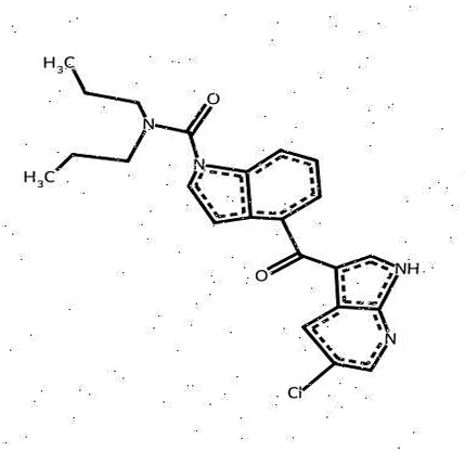 CCCN(CCC)C(=O)n1ccc2c(C(=O)c3c[nH]c4ncc(Cl)cc34)cccc21